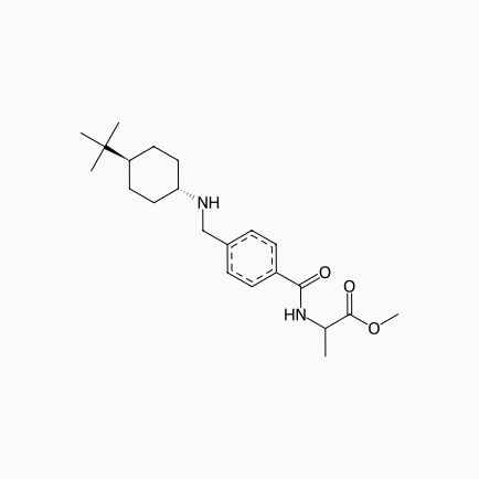 COC(=O)C(C)NC(=O)c1ccc(CN[C@H]2CC[C@H](C(C)(C)C)CC2)cc1